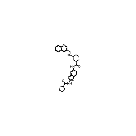 O=C(Nc1ccc2nc(NC(=O)C3CCCC3)sc2c1)C1CCCC(NCc2cnc3ccccc3c2)C1